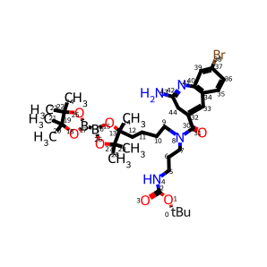 CC(C)(C)OC(=O)NCCCN(CCCCC1(C)OB(B2OC(C)(C)C(C)(C)O2)OC1(C)C)C(=O)C1=Cc2ccc(Br)cc2N=C(N)C1